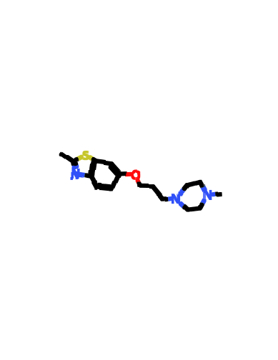 Cc1nc2ccc(OCCCN3CCN(C)CC3)cc2s1